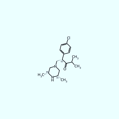 CC(C)C(=O)[C@H](CN1C[C@@H](C)N[C@@H](C)C1)c1ccc(Cl)cc1